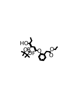 CCOC(=O)Cc1ccccc1O/C(F)=C/C(B1OC(C)(C)C(C)(C)O1)=C(/O)CC